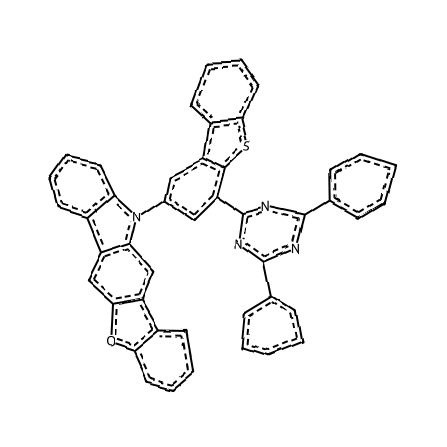 c1ccc(-c2nc(-c3ccccc3)nc(-c3cc(-n4c5ccccc5c5cc6oc7ccccc7c6cc54)cc4c3sc3ccccc34)n2)cc1